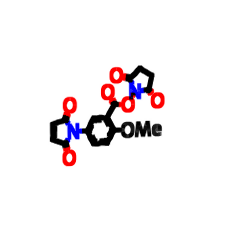 COc1ccc(N2C(=O)C=CC2=O)cc1C(=O)ON1C(=O)CCC1=O